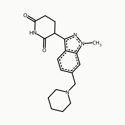 Cn1nc(C2CCC(=O)NC2=O)c2ccc(CN3CCCCC3)cc21